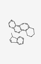 CC1C=Cc2ccccc21.c1ccc2c(c1)ccc1c3c(ccc12)CCCC3